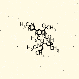 C=C/C=C\C(=N/C=C)C(=O)[C@@H]1C[C@@]2(C)C[C@H]2N1C(=O)Cn1nc(C(C)=O)c2cc(-c3cnc(C)nc3)nc(C)c21